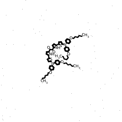 CCCCCCOc1ccc(N(c2ccc(OCCCCCC)cc2)c2ccc(-c3ccc(C(=O)C(=O)c4ccc(-c5ccc(N(c6ccc(OCCCCCC)cc6)c6ccc(OCCCCCC)cc6)s5)[nH]4)[nH]3)s2)cc1